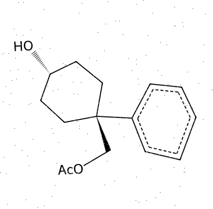 CC(=O)OC[C@]1(c2ccccc2)CC[C@@H](O)CC1